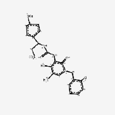 CSc1ccc(C(CC(=O)O)NC(=O)Nc2c(O)c(C)cn(Cc3ccccc3Cl)c2=O)cc1